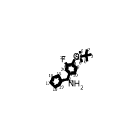 CC(C)(C)[Si](C)(C)Oc1ccc(C(N)c2ccccc2)cc1F